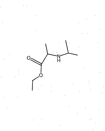 CCOC(=O)C(C)NC(C)C